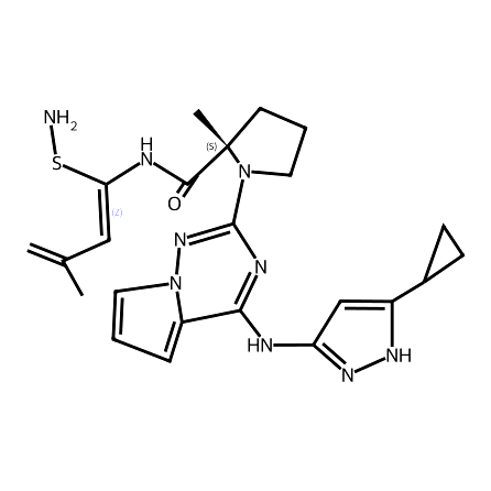 C=C(C)/C=C(/NC(=O)[C@]1(C)CCCN1c1nc(Nc2cc(C3CC3)[nH]n2)c2cccn2n1)SN